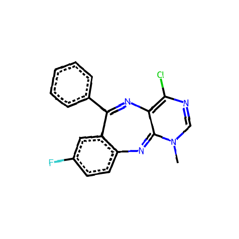 CN1C=NC(Cl)=C2N=C(c3ccccc3)c3cc(F)ccc3N=C21